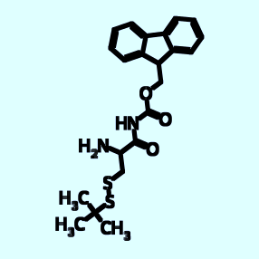 CC(C)(C)SSCC(N)C(=O)NC(=O)OCC1c2ccccc2-c2ccccc21